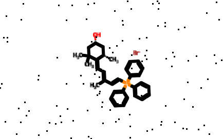 CC(C=C[P+](c1ccccc1)(c1ccccc1)c1ccccc1)=CC=C1[C@@H](C)C[C@@H](O)CC1(C)C.[Br-]